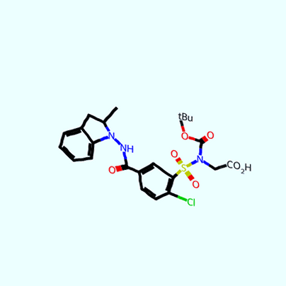 CC1Cc2ccccc2N1NC(=O)c1ccc(Cl)c(S(=O)(=O)N(CC(=O)O)C(=O)OC(C)(C)C)c1